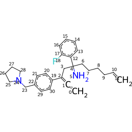 C=C=C(CC(N)(CCCCC=C)c1ccccc1F)c1ccc(CN2CCCC2)cc1